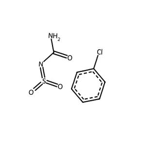 Clc1ccccc1.NC(=O)N=S(=O)=O